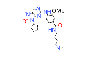 COc1cc(C(=O)NCCCCN(C)C)ccc1Nc1ncc2c(n1)n(C1CCCC1)c(=O)n2C